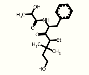 CCC(C(=O)C(Cc1ccccc1)NC(=O)C(C)O)C(C)(C)CCO